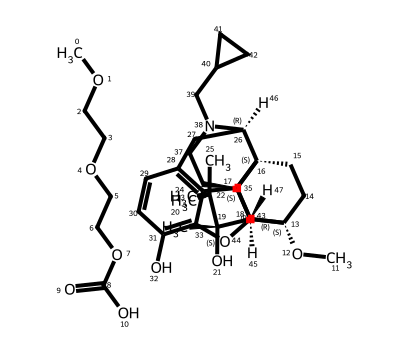 COCCOCCOC(=O)O.CO[C@@]12CC[C@@]3(C[C@@H]1[C@](C)(O)C(C)(C)C)[C@H]1Cc4ccc(O)c5c4[C@@]3(CCN1CC1CC1)[C@H]2O5